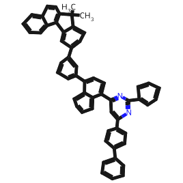 CC1(C)c2ccc(-c3cccc(-c4ccc(-c5cc(-c6ccc(-c7ccccc7)cc6)nc(-c6ccccc6)n5)c5ccccc45)c3)cc2-c2c1ccc1ccccc21